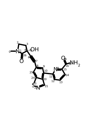 CN1CC[C@@](O)(C#Cc2cc(-c3cccc(C(N)=O)n3)c3cnsc3c2)C1=O